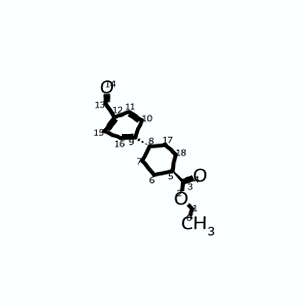 CCOC(=O)[C@H]1CC[C@H](c2ccc(C=O)cc2)CC1